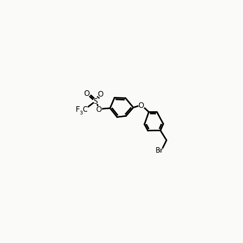 O=S(=O)(Oc1ccc(Oc2ccc(CBr)cc2)cc1)C(F)(F)F